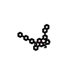 c1ccc(-c2ccc(-c3ccc(N(c4ccc(-c5cccc(-c6ccc7ccccc7c6)c5)cc4)c4ccccc4-c4ccc5c(c4)sc4ccccc45)cc3)cc2)cc1